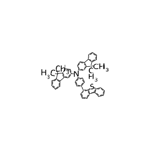 CC1(C)c2ccccc2-c2cc(N(c3ccc(-c4cccc5c4sc4ccccc45)cc3)c3ccc4c(c3)C(C)(C)c3ccccc3-4)ccc21